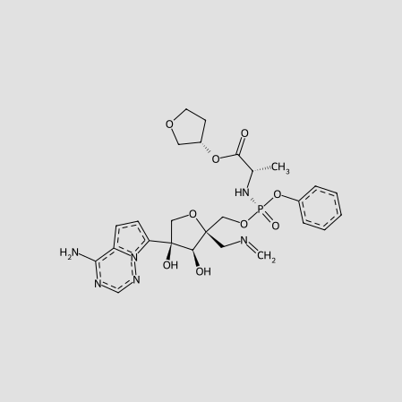 C=NC[C@]1(CO[P@@](=O)(N[C@@H](C)C(=O)O[C@H]2CCOC2)Oc2ccccc2)OC[C@@](O)(c2ccc3c(N)ncnn23)[C@@H]1O